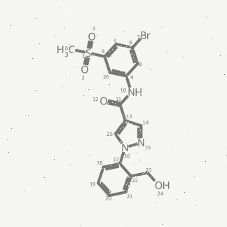 CS(=O)(=O)c1cc(Br)cc(NC(=O)c2cnn(-c3ccccc3CO)c2)c1